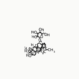 C=C(C)[C@@H]1CC[C@]2(COC3O[C@H](CO)[C@@H](O)[C@H](O)[C@H]3O)CC[C@]3(C)[C@H](CC[C@@H]4[C@@]5(C)CC[C@H](O)C(C)(C)[C@@H]5CC[C@]43C)[C@@H]12